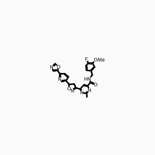 COc1cc(CNC(=O)c2cc(C3=NOC(c4ccc(-c5cnco5)nc4)C3)nc(C)n2)ccc1F